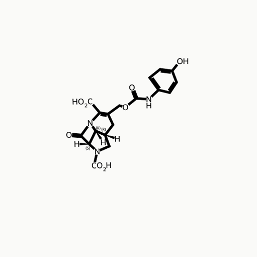 O=C(Nc1ccc(O)cc1)OCC1=C(C(=O)O)N2C(=O)[C@@H]3[C@H]2[C@H](C1)CN3C(=O)O